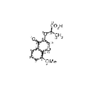 COc1cccc2c(=O)c(OC(C)C(=O)O)coc12